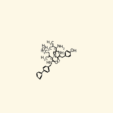 CC[C@H](C)[C@H](NC(=O)[C@H](Cc1ccc(O)cc1)NC(=O)[C@@H](N)C(C)C)C(=O)NCc1ccc(-c2ccccc2)cc1.Cl